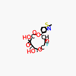 Cc1nc2cc([C@@H]3C[C@H]4O[C@@]4(F)CCO[C@@H](C)[C@@H](O)[C@@H](C)C(=O)C(C)(C)[C@@H](O)CC(=O)O3)ccc2s1